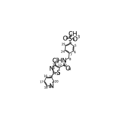 CS(=O)(=O)c1ccc(CNC(=O)c2sc(-c3cccnc3)nc2Cl)cc1